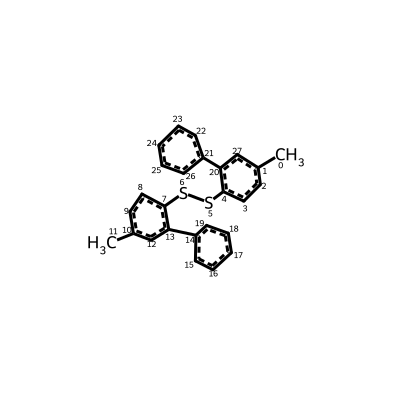 Cc1ccc(SSc2ccc(C)cc2-c2ccccc2)c(-c2ccccc2)c1